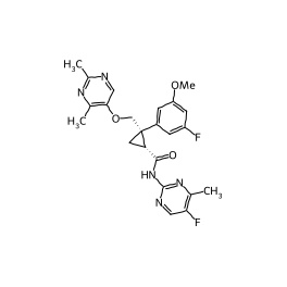 COc1cc(F)cc([C@]2(COc3cnc(C)nc3C)C[C@H]2C(=O)Nc2ncc(F)c(C)n2)c1